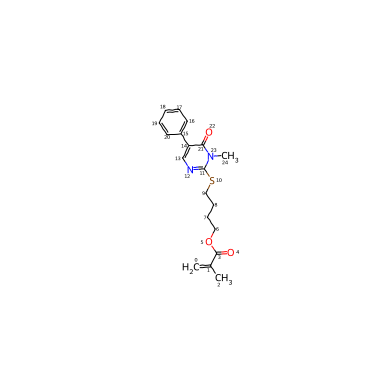 C=C(C)C(=O)OCCCCSc1ncc(-c2ccccc2)c(=O)n1C